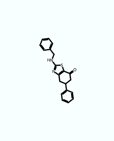 O=C1CC(c2ccccc2)Cc2nc(NCc3ccccc3)sc21